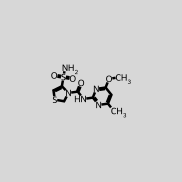 COc1cc(C)nc(NC(=O)N2CSC=C2S(N)(=O)=O)n1